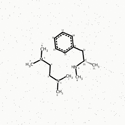 CN(C)CCN(C)C.CN[C@@H](C)Cc1ccccc1